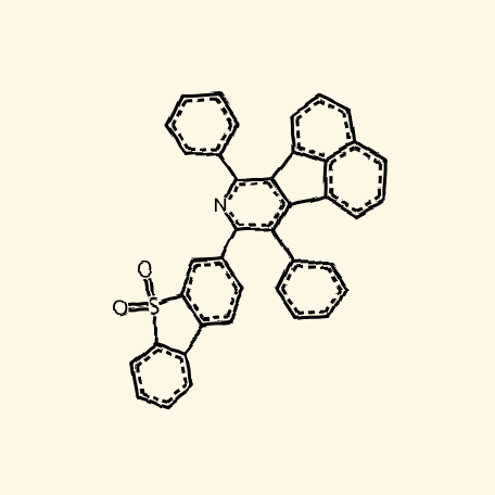 O=S1(=O)c2ccccc2-c2ccc(-c3nc(-c4ccccc4)c4c(c3-c3ccccc3)-c3cccc5cccc-4c35)cc21